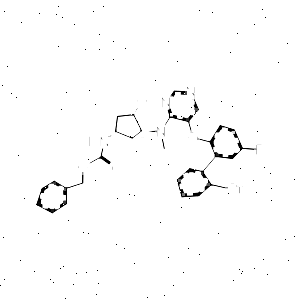 CC(C)c1ccccc1-c1cc(F)ccc1Oc1cncnc1N(C)[C@H]1C[C@@H](NC(=O)OCc2ccccc2)C[C@H]1O